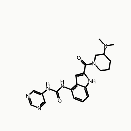 CN(C)C1CCCN(C(=O)c2cc3c(NC(=O)Nc4cncnc4)cccc3[nH]2)C1